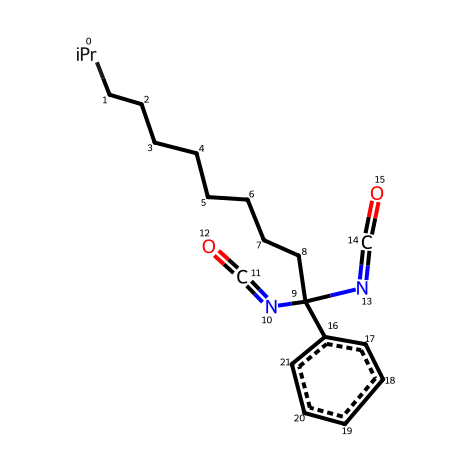 CC(C)CCCCCCCCC(N=C=O)(N=C=O)c1ccccc1